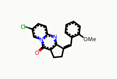 COc1ccccc1/C=C1/CCc2c1nc1ccc(Cl)cn1c2=O